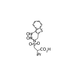 CC(C)C(CS(=O)(=O)N1CCc2c(sc3ccccc23)C1)C(=O)O.OO